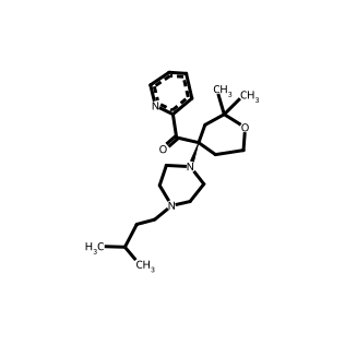 CC(C)CCN1CCN([C@]2(C(=O)c3ccccn3)CCOC(C)(C)C2)CC1